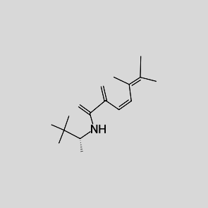 C=C(/C=C\C(C)=C(C)C)C(=C)N[C@H](C)C(C)(C)C